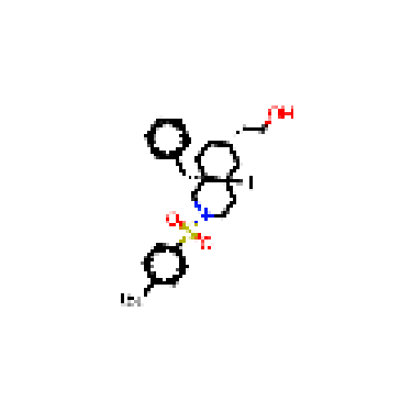 CC(C)(C)c1ccc(S(=O)(=O)N2CC[C@H]3C[C@@H](CCO)CC[C@]3(Cc3ccccc3)C2)cc1